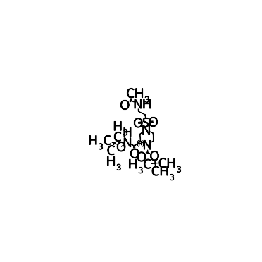 CC(=O)NCCS(=O)(=O)N1CCN(C(=O)OC(C)(C)C)[C@@H](C(=O)NOC(C)(C)C)C1